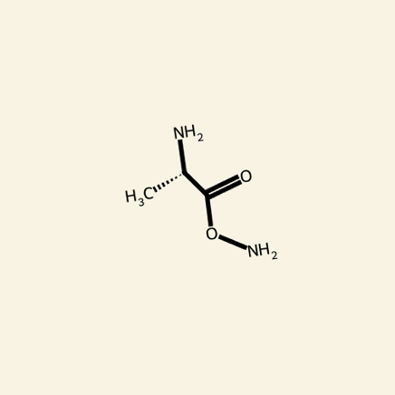 C[C@H](N)C(=O)ON